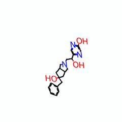 Oc1cnc(C(O)CN2CC3CC(O)(Cc4ccccc4)CC3C2)cn1